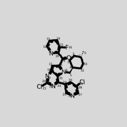 C[C@H]1CC[C@H](Cn2c(C(=O)c3ncccc3F)cc3nc(Cl)nc(-c4cncc(Cl)c4)c32)CC1